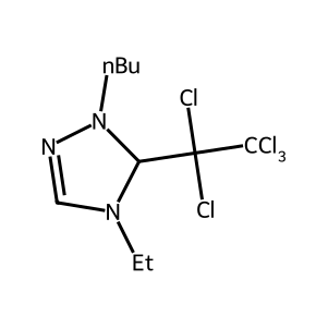 CCCCN1N=CN(CC)C1C(Cl)(Cl)C(Cl)(Cl)Cl